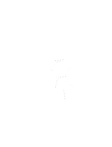 C#Cc1ccc2nc(Cl)cn2n1